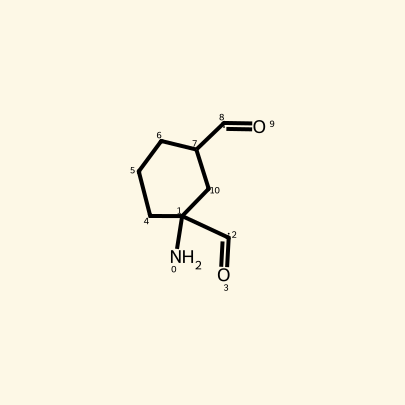 NC1([C]=O)CCCC([C]=O)C1